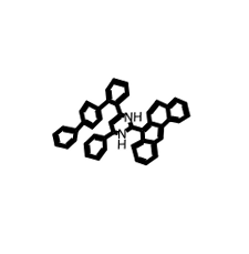 C1=C(c2ccccc2-c2ccc(-c3ccccc3)cc2)NC(c2c3ccccc3cc3c2ccc2ccccc23)NC1c1ccccc1